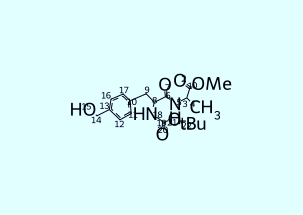 COC(=O)C(C)NC(=O)C(Cc1ccc(CO)cc1)NC(=O)OC(C)(C)C